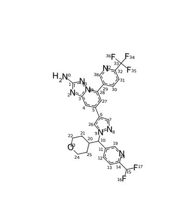 Nc1nc2cc(-c3cnn(C(c4ccc(C(F)F)nc4)C4CCOCC4)c3)cc(-c3ccc(C(F)(F)F)nc3)n2n1